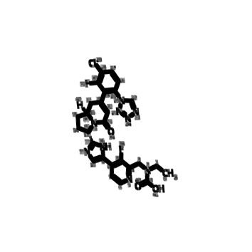 CCN(Cc1nccc(-c2cnc([C@@H]3CC[C@@H]4CC(c5c(-n6cnnn6)ccc(Cl)c5F)=CC(=O)N43)[nH]2)c1F)C(=O)O